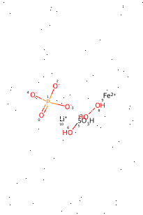 O=P([O-])([O-])[O-].O=S(=O)(O)O.OO.[Fe+2].[Li+]